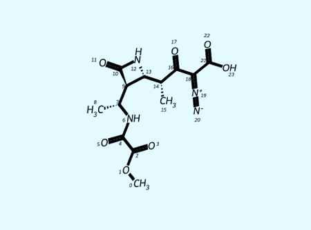 COC(=O)C(=O)N[C@H](C)[C@H]1C(=O)N[C@@H]1[C@@H](C)C(=O)C(=[N+]=[N-])C(=O)O